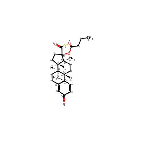 CCCC(=O)O[C@]1(C(=O)S)CC[C@H]2[C@@H]3CCC4=CC(=O)C=C[C@]4(C)[C@H]3CC[C@@]21C